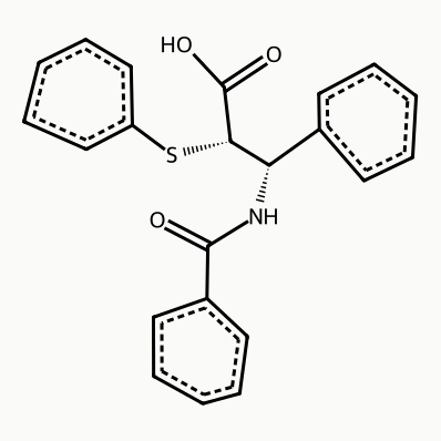 O=C(N[C@@H](c1ccccc1)[C@H](Sc1ccccc1)C(=O)O)c1ccccc1